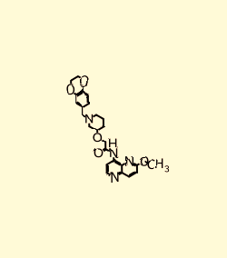 COc1ccc2nccc(NC(=O)COC3CCCN(Cc4ccc5c(c4)OCCO5)C3)c2n1